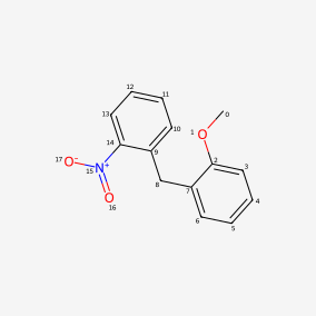 COc1ccccc1Cc1ccccc1[N+](=O)[O-]